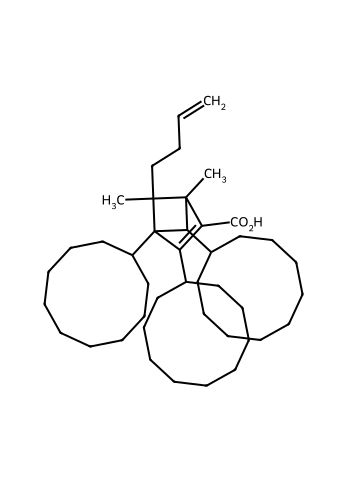 C=CCCC1(C)C2(C)C(C(=O)O)=C(C3CCCCCCCCC3)C1(C1CCCCCCCCC1)C2C1CCCCCCCCC1